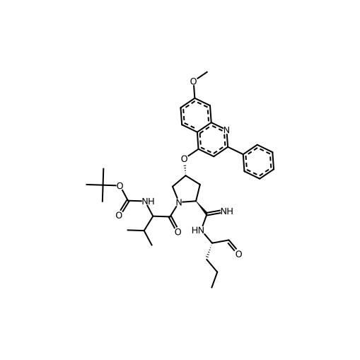 CCC[C@@H](C=O)NC(=N)[C@@H]1C[C@@H](Oc2cc(-c3ccccc3)nc3cc(OC)ccc23)CN1C(=O)C(NC(=O)OC(C)(C)C)C(C)C